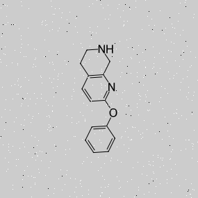 c1ccc(Oc2ccc3c(n2)CNCC3)cc1